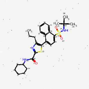 CCCc1nc(C(=O)NC2CCCCC2)sc1-c1ccc(S(=O)(=O)NC(C)(C)C)c2ccccc12